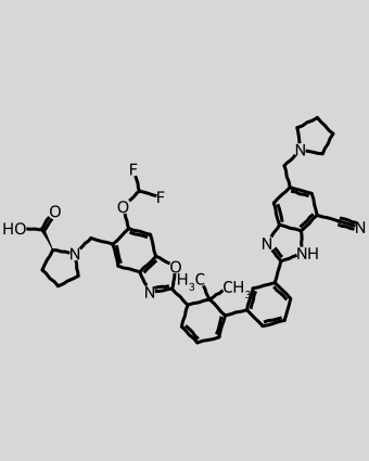 CC1(C)C(c2cccc(-c3nc4cc(CN5CCCC5)cc(C#N)c4[nH]3)c2)=CC=CC1c1nc2cc(CN3CCC[C@H]3C(=O)O)c(OC(F)F)cc2o1